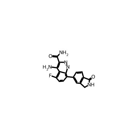 NC(=O)c1nnc2c(-c3ccc4c(c3)CNC4=O)ccc(F)c2c1N